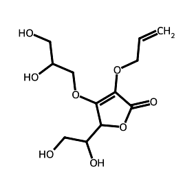 C=CCOC1=C(OCC(O)CO)C(C(O)CO)OC1=O